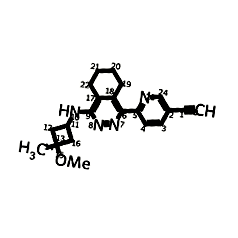 C#Cc1ccc(-c2nnc(NC3CC(C)(OC)C3)c3c2CCCC3)nc1